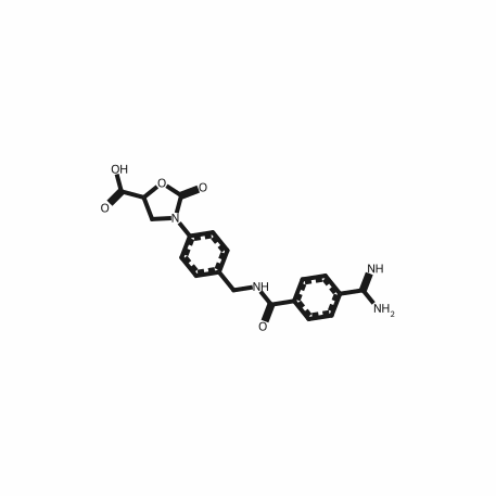 N=C(N)c1ccc(C(=O)NCc2ccc(N3CC(C(=O)O)OC3=O)cc2)cc1